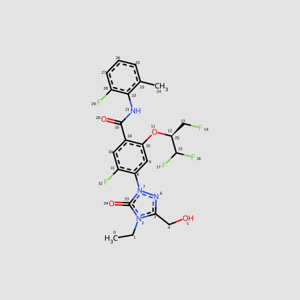 CCn1c(CO)nn(-c2cc(O[C@@H](CF)C(F)F)c(C(=O)Nc3c(C)cccc3F)cc2F)c1=O